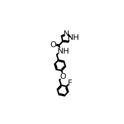 O=C(NCc1ccc(OCc2ccccc2F)cc1)c1cn[nH]c1